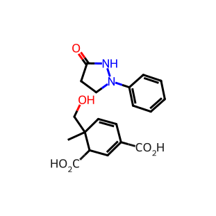 CC1(CO)C=CC(C(=O)O)=CC1C(=O)O.O=C1CCN(c2ccccc2)N1